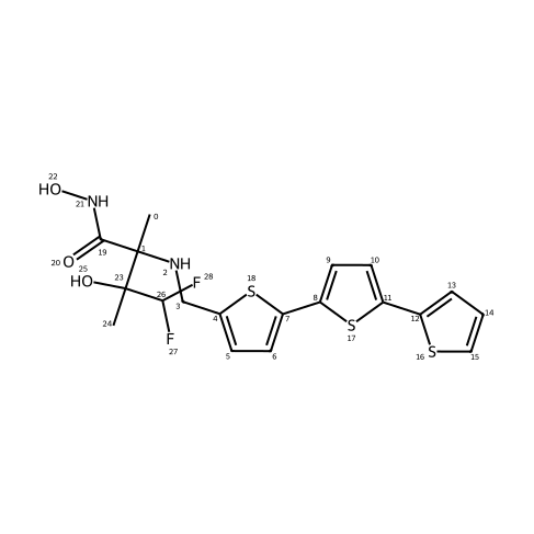 CC(NCc1ccc(-c2ccc(-c3cccs3)s2)s1)(C(=O)NO)C(C)(O)C(F)F